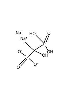 CC(O)(P(=O)([O-])[O-])P(=O)(O)O.[Na+].[Na+]